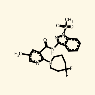 CS(=O)(=O)n1nc(NC(=O)c2cc(C(F)(F)F)cnc2N2CCCC(F)(F)CC2)c2ccccc21